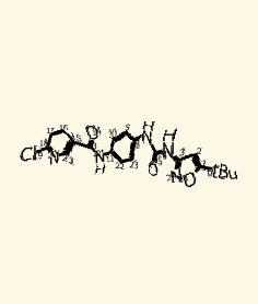 CC(C)(C)c1cc(NC(=O)Nc2ccc(NC(=O)c3ccc(Cl)nc3)cc2)no1